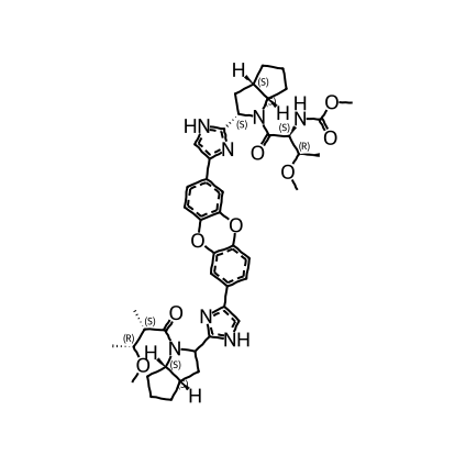 COC(=O)N[C@H](C(=O)N1[C@H](c2nc(-c3ccc4c(c3)Oc3ccc(-c5c[nH]c(C6C[C@@H]7CCC[C@@H]7N6C(=O)[C@@H](C)[C@@H](C)OC)n5)cc3O4)c[nH]2)C[C@@H]2CCC[C@@H]21)[C@@H](C)OC